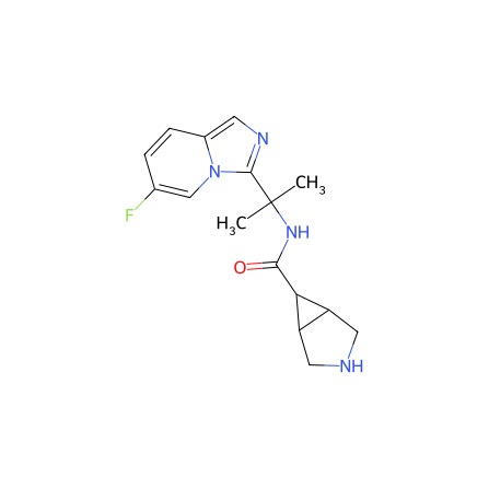 CC(C)(NC(=O)C1C2CNCC21)c1ncc2ccc(F)cn12